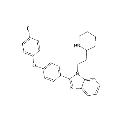 Fc1ccc(Oc2ccc(-c3nc4ccccc4n3CCC3CCCCN3)cc2)cc1